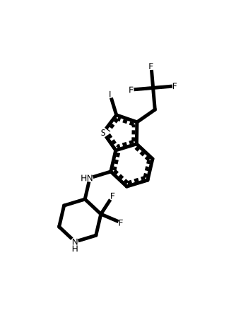 FC(F)(F)Cc1c(I)sc2c(NC3CCNCC3(F)F)cccc12